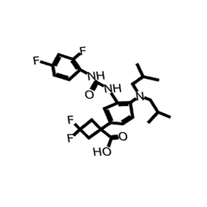 CC(C)CN(CC(C)C)c1ccc(C2(C(=O)O)CC(F)(F)C2)cc1NC(=O)Nc1ccc(F)cc1F